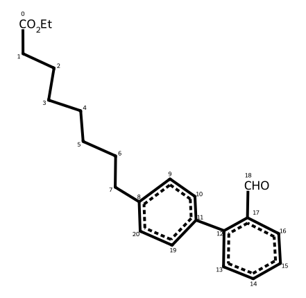 CCOC(=O)CCCCCCCc1ccc(-c2ccccc2C=O)cc1